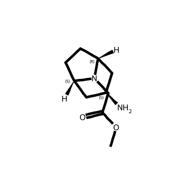 COC(=O)CN1[C@@H]2CC[C@H]1C[C@H](N)C2